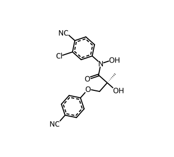 C[C@](O)(COc1ccc(C#N)cc1)C(=O)N(O)c1ccc(C#N)c(Cl)c1